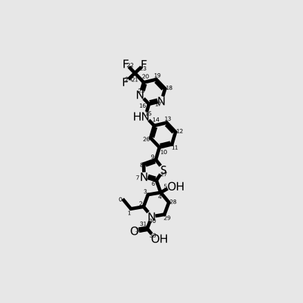 CCC1CC(O)(c2ncc(-c3cccc(Nc4nccc(C(F)(F)F)n4)c3)s2)CCN1C(=O)O